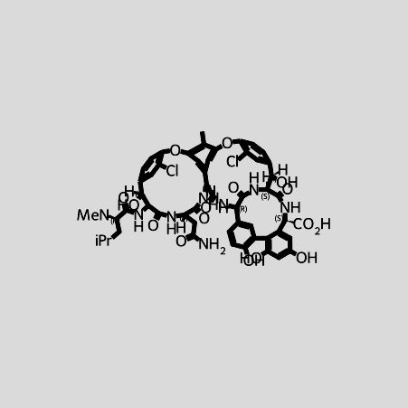 CN[C@H](CC(C)C)C(=O)NC1C(=O)N[C@@H](CC(N)=O)C(=O)N[C@H]2C(=O)N[C@H]3C(=O)N[C@H](C(=O)N[C@H](C(=O)O)c4cc(O)cc(O)c4-c4cc3ccc4O)[C@H](O)c3ccc(c(Cl)c3)Oc3cc2cc(c3C)Oc2ccc(cc2Cl)[C@H]1O